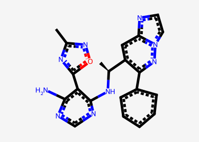 Cc1noc(-c2c(N)ncnc2N[C@@H](C)c2cc3nccn3nc2-c2ccccc2)n1